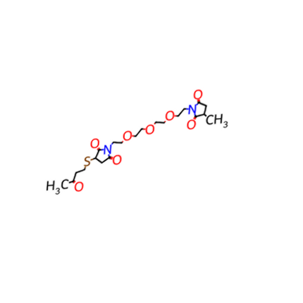 CC(=O)CCSC1CC(=O)N(CCOCCOCCOCCN2C(=O)CC(C)C2=O)C1=O